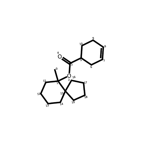 CC1(OC(=O)C2CC=CCC2)CCCCC12CCCC2